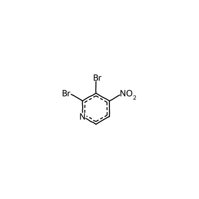 O=[N+]([O-])c1ccnc(Br)c1Br